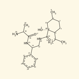 CC1CCC(C(C)C)[C@@](O)(C(=O)NCC(NC(=O)C(C)N)c2ccccc2)C1